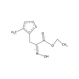 CCOC(=O)/C(Cc1sccc1C)=N\O